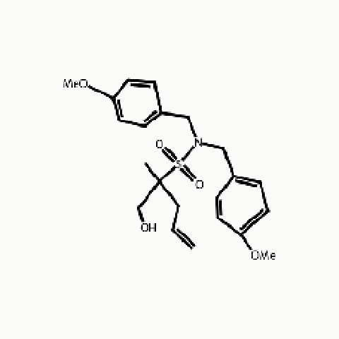 C=CCC(C)(CO)S(=O)(=O)N(Cc1ccc(OC)cc1)Cc1ccc(OC)cc1